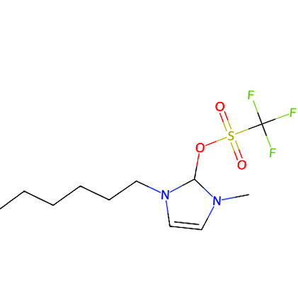 CCCCCCN1C=CN(C)C1OS(=O)(=O)C(F)(F)F